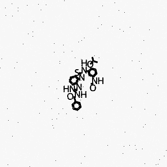 CC(C)Oc1ccc(NC=O)cc1Nc1nc2c(ccc3[nH]c(NC(=O)c4ccccc4)nc32)s1